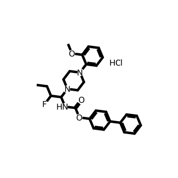 CCC(F)C(NC(=O)Oc1ccc(-c2ccccc2)cc1)N1CCN(c2ccccc2OC)CC1.Cl